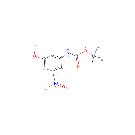 COc1cc(NC(=O)OC(C)(C)C)cc([N+](=O)[O-])c1